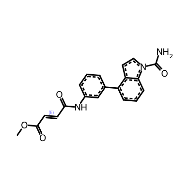 COC(=O)/C=C/C(=O)Nc1cccc(-c2cccc3c2ccn3C(N)=O)c1